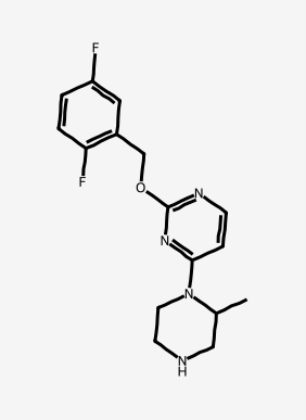 CC1CNCCN1c1ccnc(OCc2cc(F)ccc2F)n1